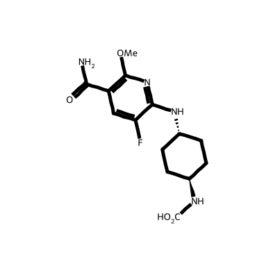 COc1nc(N[C@H]2CC[C@H](NC(=O)O)CC2)c(F)cc1C(N)=O